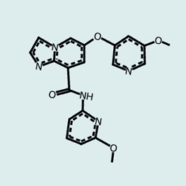 COc1cncc(Oc2cc(C(=O)Nc3cccc(OC)n3)c3nccn3c2)c1